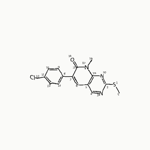 CSc1ncc2cc(-c3ccc(Cl)cc3)c(=O)n(C)c2n1